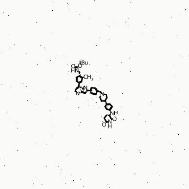 Cc1cc(-c2ccnc3cc(-c4ccc(CN5CCC(c6ccc(NC7CCC(=O)NC7=O)cc6)CC5)cc4)nn23)ccc1CNC(=O)OC(C)(C)C